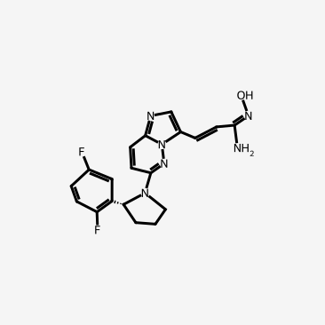 NC(/C=C/c1cnc2ccc(N3CCC[C@@H]3c3cc(F)ccc3F)nn12)=N/O